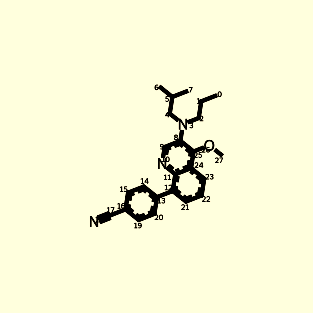 CCCN(CC(C)C)c1cnc2c(-c3ccc(C#N)cc3)cccc2c1OC